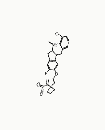 CNC1Cc2cc(F)c(OCCC3(N[SH](=O)=O)CCC3)cc2C1Cc1cccc(Cl)c1